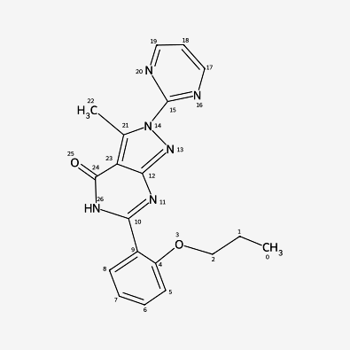 CCCOc1ccccc1-c1nc2nn(-c3ncccn3)c(C)c2c(=O)[nH]1